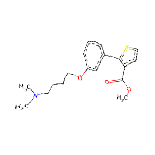 COC(=O)c1ccsc1-c1cccc(OCCCCN(C)C)c1